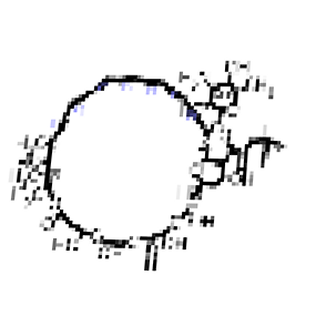 C[C@@H]1OC(=O)CC(O)CC(O)CCC(O)C(O)CC(O)CC2(O)C[C@H](O)C(C(=O)NCC(F)(F)F)[C@H](CC(O[C@@H]3O[C@H](C)C(O)[C@H](N)C3O)/C=C/C=C/C=C/C=C/C=C/C=C/C=C/[C@H](C)C(O)[C@H]1C)O2